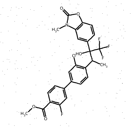 COC(=O)c1ccc(-c2ccc(C(C)C(O)(c3ccc4oc(=O)n(C)c4c3)C(F)(F)F)c(Cl)c2)cc1F